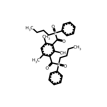 CCCCP(=O)(C(=O)c1c(C)cc(C)c(C(=O)P(=O)(CCCC)c2ccccc2)c1C)c1ccccc1